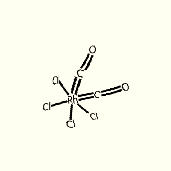 O=[C]=[Rh]([Cl])([Cl])([Cl])([Cl])=[C]=O